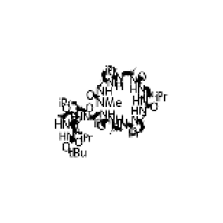 CNC(=O)NC[C@H](CC(C)C)NC(=O)NC[C@H](C)NC(=O)NC[C@@H](NC(=O)NC[C@H](CC(C)C)NC(=O)NC[C@H](C)NC(=O)NC[C@@H](NC(=O)[C@H](CC(C)C)NC(=O)[C@H](C)NC(=O)[C@H](CC(C)C)NC(=O)OC(C)(C)C)C(C)C)C(C)C